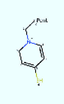 CCCCCCN1C=CC(S)=CC1